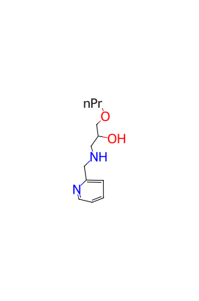 CCCOCC(O)CNCc1ccccn1